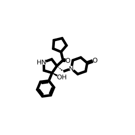 O=C1CCN(C[C@@]2(C(=O)C3CCCC3)CNC[C@@]2(O)c2ccccc2)CC1